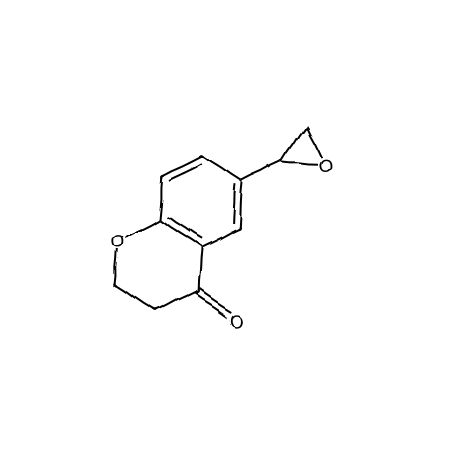 O=C1CCOc2ccc(C3CO3)cc21